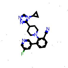 N#Cc1cccc(-c2cncc(F)c2)c1N1CCC(c2nncn2C2CC2)CC1